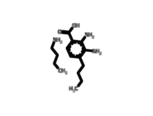 CCCCN.CCCCc1ccc(C(=O)O)c(N)c1N